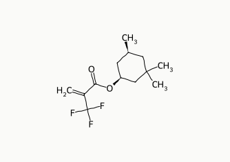 C=C(C(=O)O[C@H]1C[C@@H](C)CC(C)(C)C1)C(F)(F)F